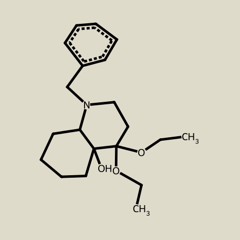 CCOC1(OCC)CCN(Cc2ccccc2)C2CCCCC21O